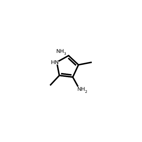 Cc1c[nH]c(C)c1N.N